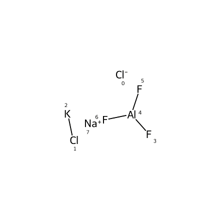 [Cl-].[Cl][K].[F][Al]([F])[F].[Na+]